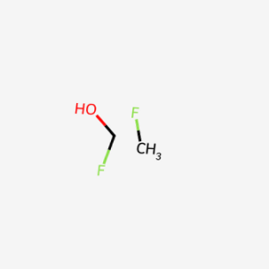 CF.OCF